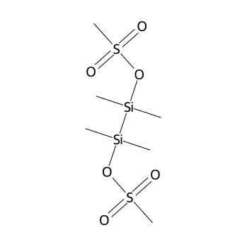 C[Si](C)(OS(C)(=O)=O)[Si](C)(C)OS(C)(=O)=O